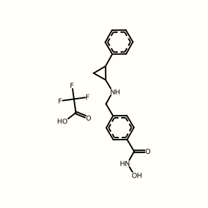 O=C(NO)c1ccc(CNC2CC2c2ccccc2)cc1.O=C(O)C(F)(F)F